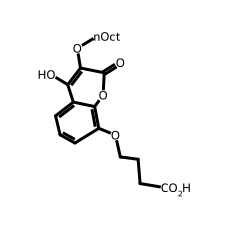 CCCCCCCCOc1c(O)c2cccc(OCCCC(=O)O)c2oc1=O